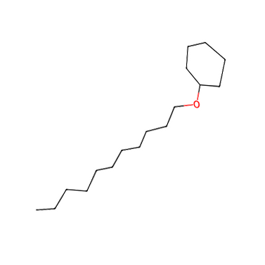 CCCCCCCCCCCOC1CCCCC1